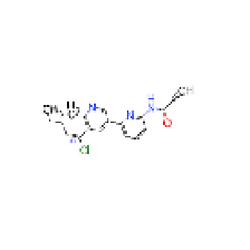 C#CC(=O)Nc1cccc(-c2cnc(C)c(/C(Cl)=C\CCC)c2)n1